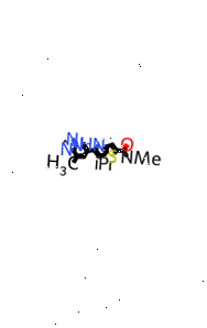 CNC(=O)c1cc2[nH]c(-c3cc(C)c4ncnn4c3)c(C(C)C)c2s1